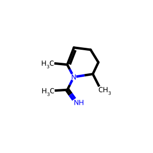 CC(=N)N1C(C)=CCCC1C